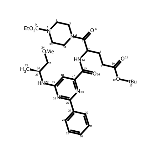 CCOC(=O)N1CCN(C(=O)C(CCC(=O)OC(C)(C)C)NC(=O)c2cc(N[C@@H](C)COC)nc(-c3ccccc3)n2)CC1